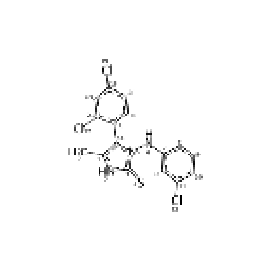 Cc1[nH]c(=S)n(Nc2cccc(Cl)c2)c1-c1ccc(Cl)cc1Cl